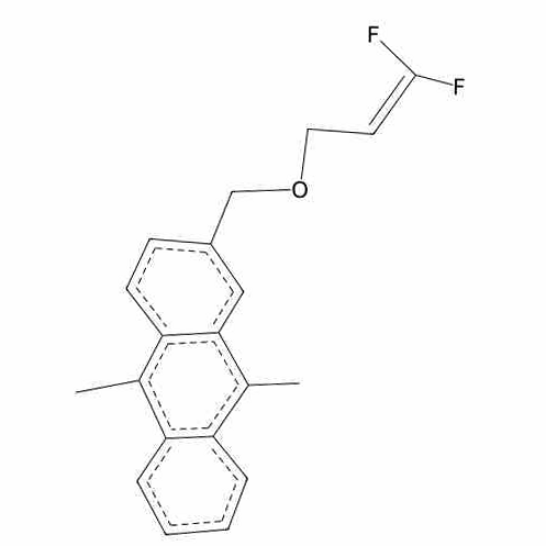 Cc1c2ccccc2c(C)c2cc(COCC=C(F)F)ccc12